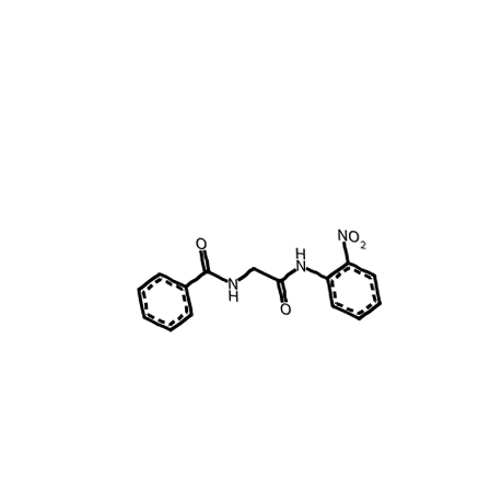 O=C(CNC(=O)c1ccccc1)Nc1ccccc1[N+](=O)[O-]